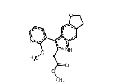 COC(=O)Cc1[nH]c2cc3c(cc2c1-c1cccnc1OC)OCC3